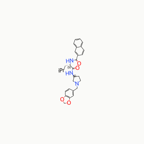 CC(C)C[C@H](NC(=O)c1ccc2ccccc2c1)C(=O)N[C@H]1CCN(Cc2ccc3c(c2)OCO3)C1